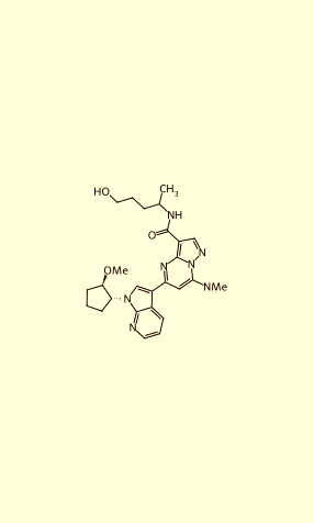 CNc1cc(-c2cn([C@@H]3CCC[C@H]3OC)c3ncccc23)nc2c(C(=O)NC(C)CCCO)cnn12